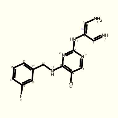 N=C/C(=C\N)Nc1ncc(Cl)c(NCc2cccc(F)c2)n1